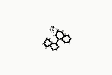 N.N.c1ccc2c(-c3cccc4ccccc34)cccc2c1